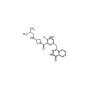 CC(C)CNC1CN(C(=O)c2cc(Cc3n[nH]c(=O)c4ccccc34)ccc2F)C1.Cl